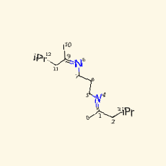 CC(CC(C)C)=NCCCN=C(C)CC(C)C